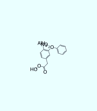 O=C(Cc1ccc([N+](=O)[O-])c(Oc2ccccc2)c1)OO.[AlH3]